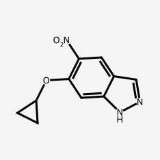 O=[N+]([O-])c1cc2cn[nH]c2cc1OC1CC1